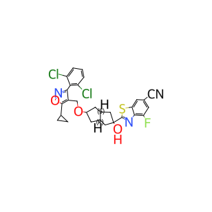 N#Cc1cc(F)c2nc(C3(O)C[C@H]4CC(OCc5c(-c6c(Cl)cccc6Cl)noc5C5CC5)C[C@H]4C3)sc2c1